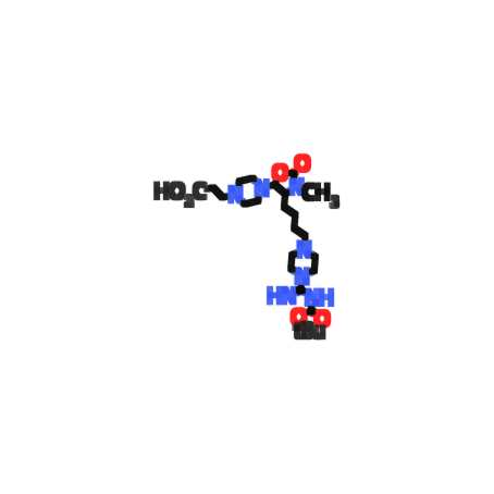 CN1C(=O)OC(N2CCN(CCC(=O)O)CC2)C1CCCCN1CCN(C(=N)NC(=O)OC(C)(C)C)CC1